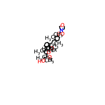 CCO[C@@H]([C@H]1C[C@@H](C)[C@H]2[C@H](O1)[C@H](OCC)[C@@]1(C)[C@H](CC[C@@H]3C(C)CC[C@H](OC(=O)N4CCOCC4)C3(C)C)CCC[C@]21C)C(C)(C)O